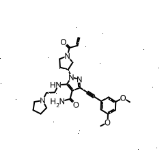 C=CC(=O)N1CC[C@H](n2nc(C#Cc3cc(OC)cc(OC)c3)c(C(N)=O)c2NCCN2CCCC2)C1